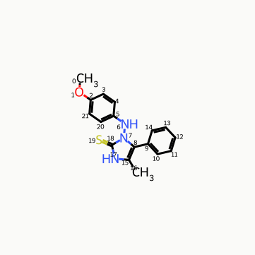 COc1ccc(Nn2c(-c3ccccc3)c(C)[nH]c2=S)cc1